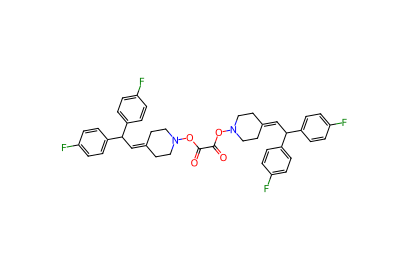 O=C(ON1CCC(=CC(c2ccc(F)cc2)c2ccc(F)cc2)CC1)C(=O)ON1CCC(=CC(c2ccc(F)cc2)c2ccc(F)cc2)CC1